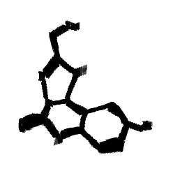 O=c1nc2ccc(Br)cc2c2[nH]c(CO)nn12